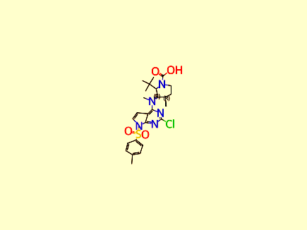 Cc1ccc(S(=O)(=O)n2ccc3c(N(C)[C@H]4C(C(C)(C)C)N(C(=O)O)CC[C@H]4C)nc(Cl)nc32)cc1